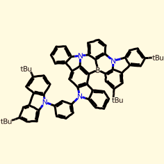 CC(C)(C)c1ccc2c(c1)c1cc(C(C)(C)C)ccc1n2-c1cccc(-n2c3ccccc3c3c4c5c(cc32)c2ccccc2n5-c2cccc3c2B4c2cc(C(C)(C)C)cc4c5cc(C(C)(C)C)ccc5n-3c24)c1